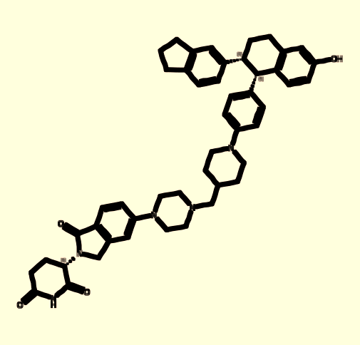 O=C1CC[C@H](N2Cc3cc(N4CCN(CC5CCN(c6ccc([C@H]7c8ccc(O)cc8CC[C@H]7c7ccc8c(c7)CCC8)cc6)CC5)CC4)ccc3C2=O)C(=O)N1